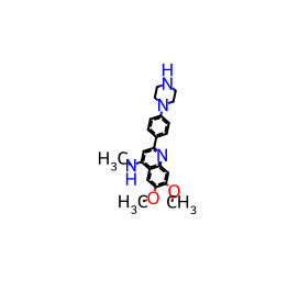 CNc1cc(-c2ccc(N3CCNCC3)cc2)nc2cc(OC)c(OC)cc12